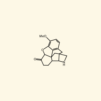 COc1ccc2c3c1OC1C(=O)CCC4C5NCC5(C2)CC314